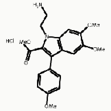 COC(=O)c1c(-c2ccc(OC)cc2)c2cc(OC)c(OC)cc2n1CCN.Cl